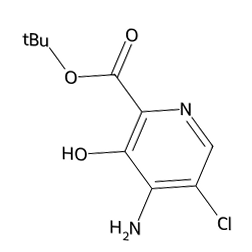 CC(C)(C)OC(=O)c1ncc(Cl)c(N)c1O